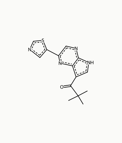 CC(C)(C)C(=O)c1c[nH]c2ncc(-c3cncs3)nc12